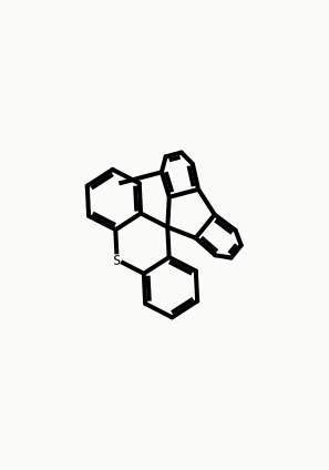 Cc1cccc2c1C1(c3ccccc3Sc3ccccc31)c1ccccc1-2